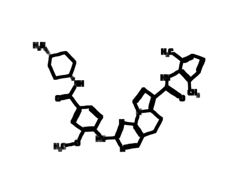 COc1cc(C(=O)N[C@H]2CC[C@@H](N)CC2)ccc1Nc1ncc2c(n1)-n1ccc(C(=O)Nc3c(C)cccc3C)c1CC2